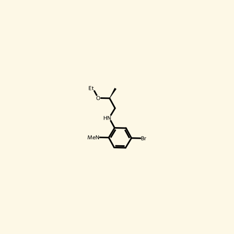 CCO[C@@H](C)CNc1cc(Br)ccc1NC